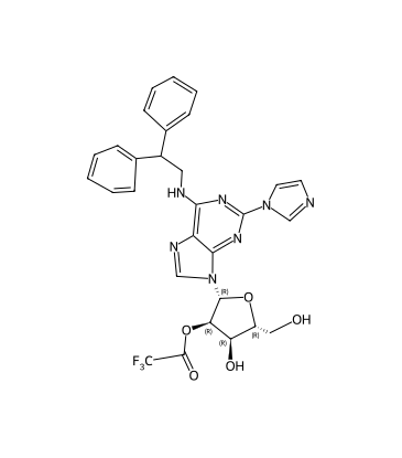 O=C(O[C@@H]1[C@H](O)[C@@H](CO)O[C@H]1n1cnc2c(NCC(c3ccccc3)c3ccccc3)nc(-n3ccnc3)nc21)C(F)(F)F